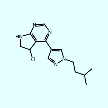 CC(C)CCn1cc(-c2ncnc3c2C(Cl)CN3)cn1